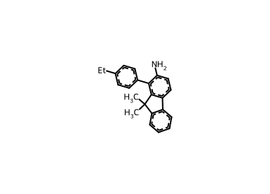 CCc1ccc(-c2c(N)ccc3c2C(C)(C)c2ccccc2-3)cc1